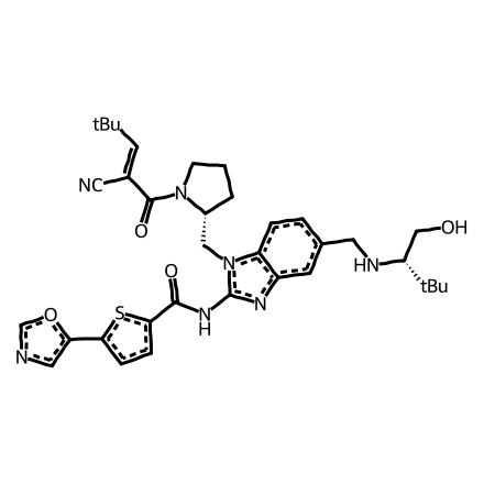 CC(C)(C)/C=C(\C#N)C(=O)N1CCC[C@@H]1Cn1c(NC(=O)c2ccc(-c3cnco3)s2)nc2cc(CN[C@H](CO)C(C)(C)C)ccc21